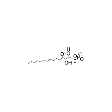 CCCCCCCCCCCC(=O)C(O)C(O)COP(=O)(Cl)Cl